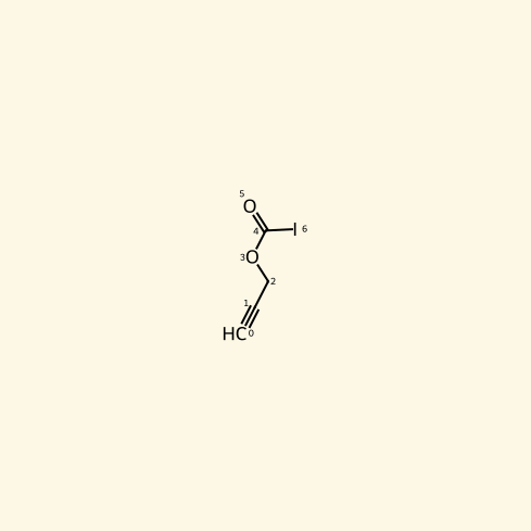 C#CCOC(=O)I